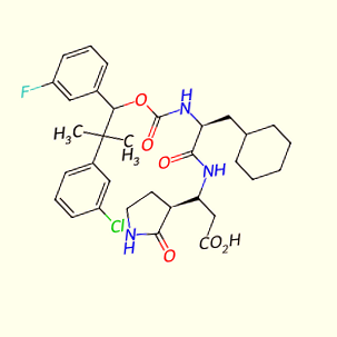 CC(C)(c1cccc(Cl)c1)C(OC(=O)N[C@@H](CC1CCCCC1)C(=O)NC(CC(=O)O)[C@@H]1CCNC1=O)c1cccc(F)c1